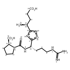 N=C(N)NCCC[C@H](NC(=O)N1CCC[C@H]1C(=O)O)c1nc([C@@H](N)CCC(=O)O)no1